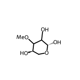 COC1C(O)[C@H](O)OC[C@H]1O